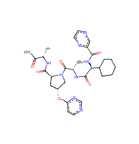 CCC[C@H](NC(=O)[C@@H]1C[C@@H](Oc2ccncn2)CN1C(=O)[C@@H](NC(=O)[C@@H](NC(=O)c1cnccn1)C1CCCCC1)C(C)(C)C)C(=O)C=O